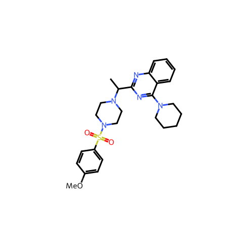 COc1ccc(S(=O)(=O)N2CCN(C(C)c3nc(N4CCCCC4)c4ccccc4n3)CC2)cc1